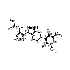 C=CC(=O)Nc1c[nH]nc1-c1n[nH]c2c1CCC(c1c(F)c(OC)cc(OC)c1F)C2